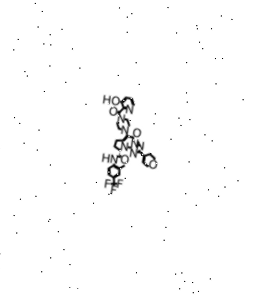 Cc1cc(C(F)(F)F)ccc1NC(=O)[C@@H]1CCc2c(N3CCN(C(=O)c4ncccc4O)CC3)c(=O)n3nc(C4=CCOCC4)nc3n21